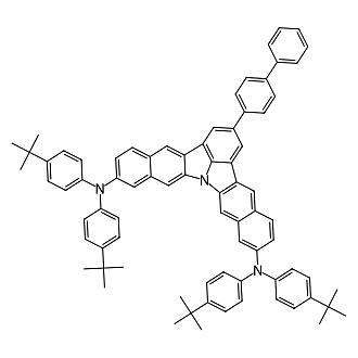 CC(C)(C)c1ccc(N(c2ccc(C(C)(C)C)cc2)c2ccc3cc4c5cc(-c6ccc(-c7ccccc7)cc6)cc6c7cc8ccc(N(c9ccc(C(C)(C)C)cc9)c9ccc(C(C)(C)C)cc9)cc8cc7n(c4cc3c2)c56)cc1